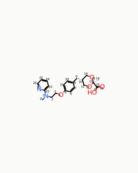 CN(CCOc1ccc(C[C@H]2CO[C@](C)(C(=O)O)OC2)cc1)c1ccccn1